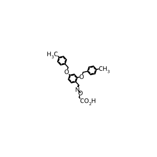 Cc1ccc(COc2ccc(C=NOCC(=O)O)c(OCc3ccc(C)cc3)c2)cc1